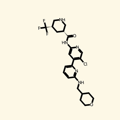 O=C(Nc1cc(-c2cccc(NCC3CCOCC3)n2)c(Cl)cn1)[C@H]1CNC[C@@H](C(F)(F)F)C1